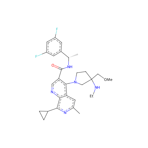 CCNC1(COC)CCN(c2c(C(=O)N[C@@H](C)c3cc(F)cc(F)c3)cnc3c(C4CC4)nc(C)cc23)C1